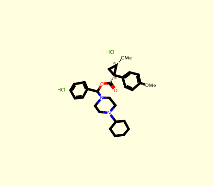 COc1ccc([C@@]2(C(=O)OC(c3ccccc3)N3CCN(C4CCCCC4)CC3)C[C@@H]2OC)cc1.Cl.Cl